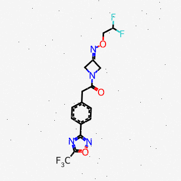 O=C(Cc1ccc(-c2noc(C(F)(F)F)n2)cc1)N1CC(=NOCC(F)F)C1